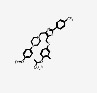 CCOc1ccc(N2CCN(Cc3nc(-c4ccc(C(F)(F)F)cc4)sc3CSc3ccc(OC(C)C(=O)O)c(C)c3)CC2)cc1